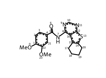 COc1ccc(C(=O)Nc2ncnc3sc4c(c23)CCCC4)cc1OC